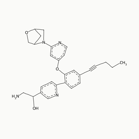 CCCC#Cc1ccc(-c2ccc(C(O)CN)cn2)c(Oc2ccnc(N3CC4CC3CO4)c2)c1